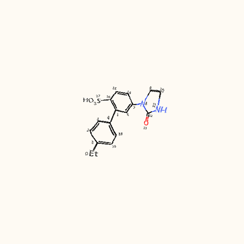 CCc1ccc(-c2cc(N3CCNC3=O)ccc2S(=O)(=O)O)cc1